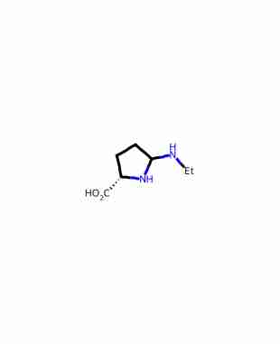 CCNC1CC[C@@H](C(=O)O)N1